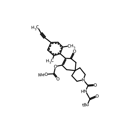 CC#Cc1cc(C)c(C2=C(OC(=O)OC)CC3(CCN(C(=O)NC(=O)C(C)(C)C)CC3)CC2=O)c(C)c1